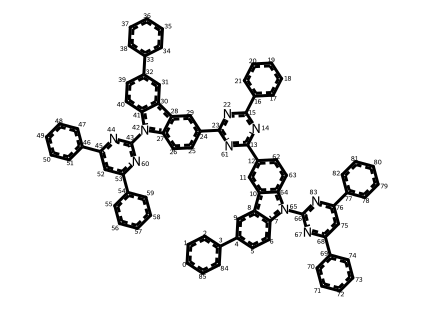 c1ccc(-c2ccc3c(c2)c2cc(-c4nc(-c5ccccc5)nc(-c5ccc6c(c5)c5cc(-c7ccccc7)ccc5n6-c5nc(-c6ccccc6)cc(-c6ccccc6)n5)n4)ccc2n3-c2nc(-c3ccccc3)cc(-c3ccccc3)n2)cc1